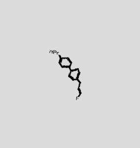 CCCc1ccc(-c2ccc(C/C=C/F)cc2)cc1